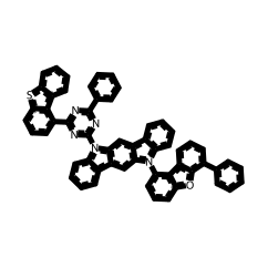 c1ccc(-c2nc(-c3cccc4sc5ccccc5c34)nc(-n3c4ccccc4c4cc5c(cc43)c3ccccc3n5-c3cccc4oc5c(-c6ccccc6)cccc5c34)n2)cc1